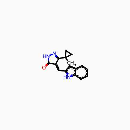 CC1(C2=NNC(=O)/C2=C/c2cc3ccccc3[nH]2)CC1